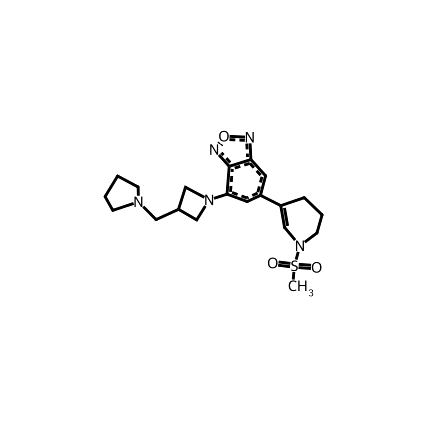 CS(=O)(=O)N1C=C(c2cc(N3CC(CN4CCCC4)C3)c3nonc3c2)CCC1